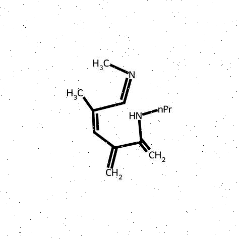 C=C(/C=C(C)\C=N/C)C(=C)NCCC